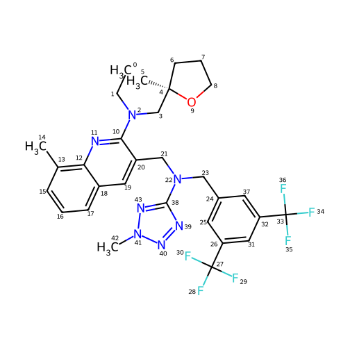 CCN(C[C@@]1(C)CCCO1)c1nc2c(C)cccc2cc1CN(Cc1cc(C(F)(F)F)cc(C(F)(F)F)c1)c1nnn(C)n1